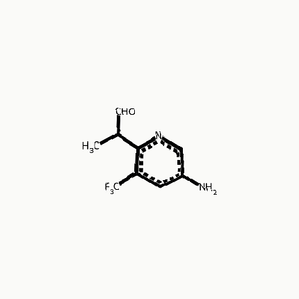 CC(C=O)c1ncc(N)cc1C(F)(F)F